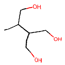 CC(CO)C(CO)CO